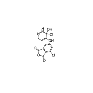 O=C1OC(=O)c2c(Cl)cccc21.OC1=CC=NNC1(O)Cl